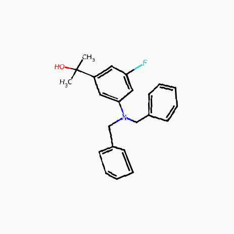 CC(C)(O)c1cc(F)cc(N(Cc2ccccc2)Cc2ccccc2)c1